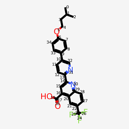 CC(C)CCOc1ccc(-c2ccc(-c3cc(C(=O)O)c4cc(C(F)(F)F)ccc4n3)nc2)cc1